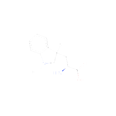 CN1CC(C)(C[C@H](N)C(=O)O)c2ccccc21